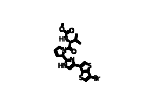 COC(=O)N[C@H](C(=O)N1CC=CC1c1nc(-c2csc3c(Br)csc23)c[nH]1)C(C)C